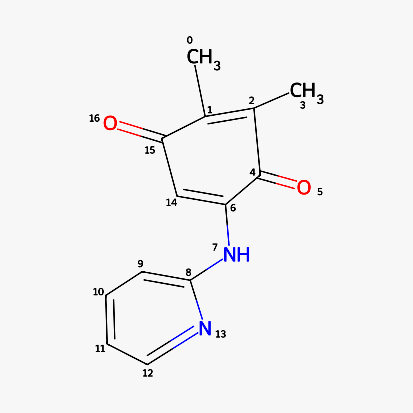 CC1=C(C)C(=O)C(Nc2ccccn2)=CC1=O